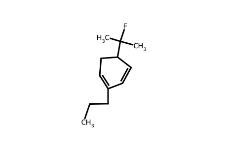 CCCC1=CCC(C(C)(C)F)C=C1